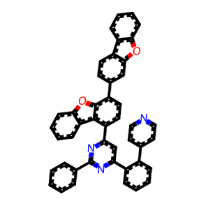 c1ccc(-c2nc(-c3ccccc3-c3ccncc3)cc(-c3ccc(-c4ccc5c(c4)oc4ccccc45)c4oc5ccccc5c34)n2)cc1